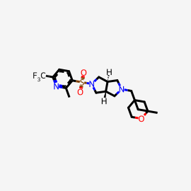 Cc1nc(C(F)(F)F)ccc1S(=O)(=O)N1C[C@H]2CN(CC34CCOC(C)(C3)C4)C[C@@H]2C1